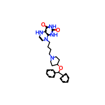 O=c1[nH]c2c(c(=O)[nH]1)NC=CN2CCCCN1CCC(OC(c2ccccc2)c2ccccc2)CC1